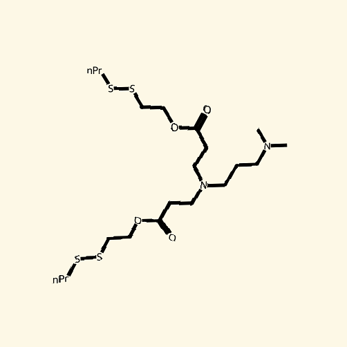 CCCSSCCOC(=O)CCN(CCCN(C)C)CCC(=O)OCCSSCCC